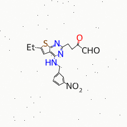 CCc1cc2c(NCc3cccc([N+](=O)[O-])c3)nc(CCC(=O)C=O)nc2s1